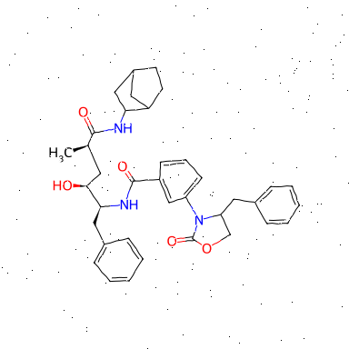 C[C@H](C[C@H](O)[C@H](Cc1ccccc1)NC(=O)c1cccc(N2C(=O)OCC2Cc2ccccc2)c1)C(=O)NC1CC2CCC1C2